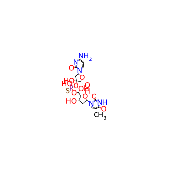 Cc1cn([C@H]2C[C@H](O)[C@@H](C(O)OP(O)(=S)O[C@@]3(O)C[C@H](n4ccc(N)nc4=O)O[C@@H]3CO)O2)c(=O)[nH]c1=O